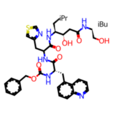 CC[C@H](C)[C@@H](CO)NC(=O)C[C@H](O)[C@H](CC(C)C)NC(=O)C(Cc1cscn1)NC(=O)[C@H](Cc1cccc2ncccc12)NC(=O)OCc1ccccc1